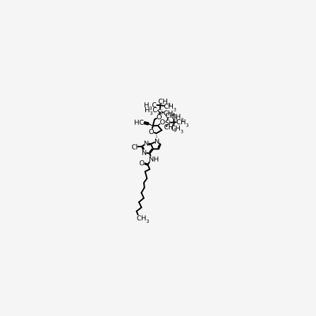 C#C[C@]1(CO[Si](C)(C)C(C)(C)C)O[C@@H](n2ccc3c(NC(=O)CCCCCCCCCCC)nc(Cl)nc32)C[C@@H]1O[Si](C)(C)C(C)(C)C